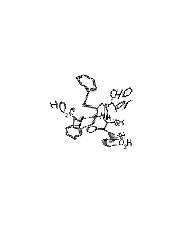 CC(C)C(C=O)NC[C@H](Cc1ccccc1)C(Cc1ccccc1)(NC(=O)O)N[C@H](C(=O)NC(=O)O)C(C)C